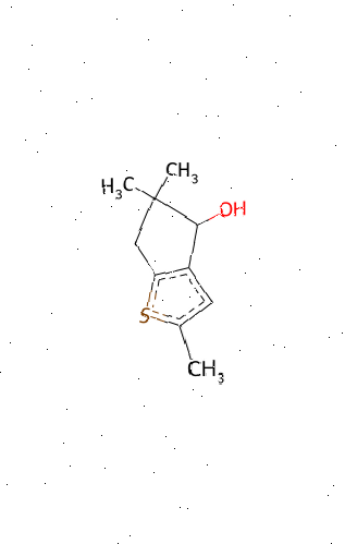 Cc1cc2c(s1)CC(C)(C)C2O